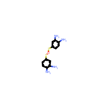 Nc1ccc(SOSc2ccc(N)c(N)c2)cc1N